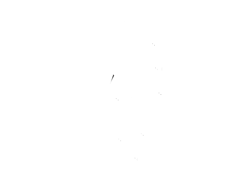 CC1(C)OC(O)c2ccc(Nc3cc(N[C@H](CO)c4ccccc4)c(-c4nc(N5CCOCC5)no4)cn3)nc21